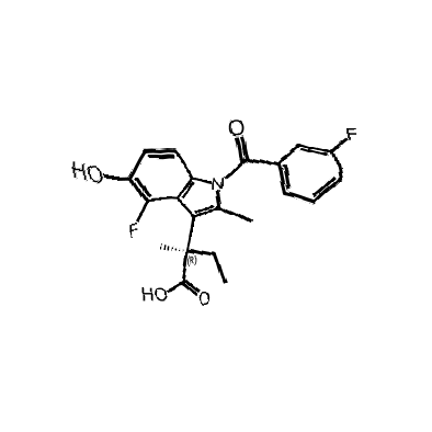 CC[C@@](C)(C(=O)O)c1c(C)n(C(=O)c2cccc(F)c2)c2ccc(O)c(F)c12